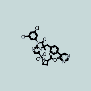 CC(C)OC(=O)C1CCN1S(=O)(=O)c1cnc2n1C(C)(Cc1ccc(-c3cncnc3)cc1)C(=O)N2c1cc(Cl)cc(Cl)c1